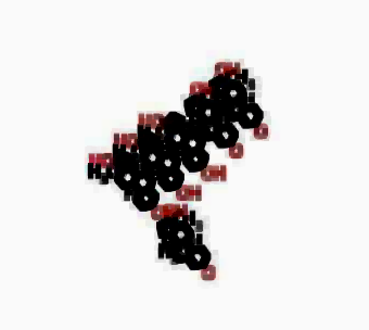 C[C@]12CC[C@@H]3c4ccc(O)cc4CC[C@H]3[C@@H]1CC[C@@H]2O.C[C@]12CC[C@@H]3c4ccc(O)cc4CC[C@H]3[C@@H]1CC[C@@H]2O.C[C@]12CC[C@@H]3c4ccc(O)cc4CC[C@H]3[C@@H]1CC[C@@H]2O.C[C@]12CC[C@H]3[C@@H](CCC4=CC(=O)CC[C@@]43C)[C@@H]1CC[C@@H]2O.C[C@]12CC[C@H]3[C@@H](CCC4=CC(=O)CC[C@@]43C)[C@@H]1CC[C@@H]2O.C[C@]12CC[C@H]3[C@@H](CCC4=CC(=O)CC[C@@]43C)[C@@H]1CC[C@@H]2O